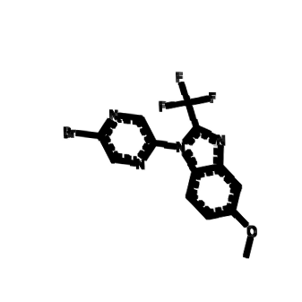 COc1ccc2c(c1)nc(C(F)(F)F)n2-c1cnc(Br)cn1